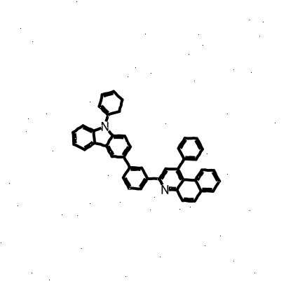 C1=CCCC(n2c3ccccc3c3cc(-c4cccc(-c5cc(-c6ccccc6)c6c(ccc7ccccc76)n5)c4)ccc32)=C1